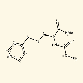 CNC(=O)[C@H](CCCc1ccncc1)NC(=O)OC(C)(C)C